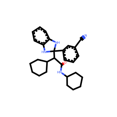 N#Cc1cccc(C2(C(C(=O)NC3CCCCC3)C3CCCCC3)Nc3ccccc3N2)c1